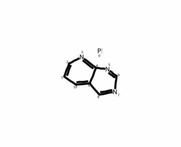 [P].c1cnc2ncncc2c1